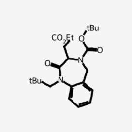 CCOC(=O)CC1C(=O)N(CC(C)(C)C)c2ccccc2CN1C(=O)OC(C)(C)C